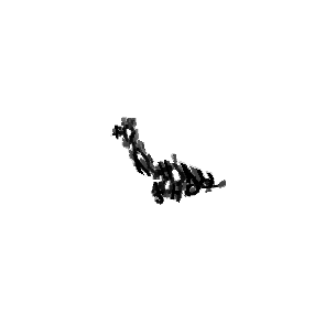 CCOC(=O)N[C@@H]1CC[C@@H]2[C@H](Cc3scnc3[C@H]2/C=C/c2ccc(-c3cccc(F)c3)cn2)C1